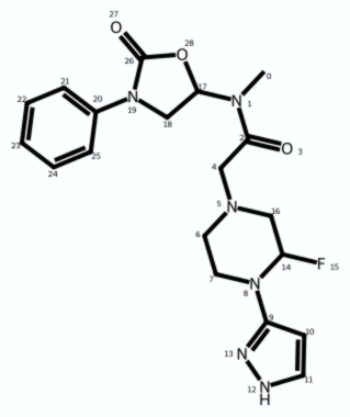 CN(C(=O)CN1CCN(c2cc[nH]n2)C(F)C1)C1CN(c2ccccc2)C(=O)O1